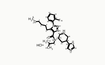 COCCCCc1c(C(=O)N(CC(C)C)[C@@H]2CNCC(c3cnco3)C2)nnn1-c1ccccc1F.Cl